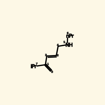 C=C(/C=C/CNCCC)C(C)C